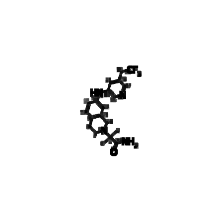 CC(C)(C(N)=O)N1CCc2ccc(Nc3cncc(CC(F)(F)F)c3)cc2C1